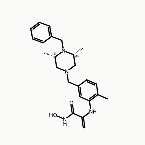 C=C(Nc1cc(CN2C[C@@H](C)N(Cc3ccccc3)[C@@H](C)C2)ccc1C)C(=O)NO